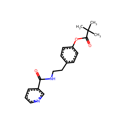 CC(C)(C)C(=O)Oc1ccc(CCNC(=O)c2cccnc2)cc1